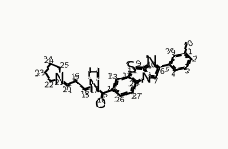 Cc1cccc(-c2cn3c(n2)sc2cc(C(=O)NCCCN4CCCC4)ccc23)c1